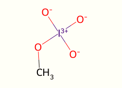 CO[I+3]([O-])([O-])[O-]